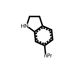 [CH2]CCc1ccc2c(c1)NCC2